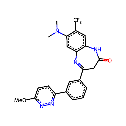 COc1ccc(-c2cccc(C3=Nc4cc(N(C)C)c(C(F)(F)F)cc4NC(=O)C3)c2)nn1